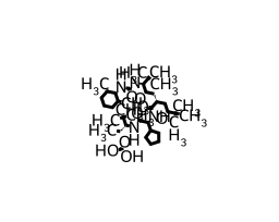 CC[C@@H](NC(=O)[C@@H](NC(=O)[C@H](CC(=O)[C@@H](NC(=O)NC1C(C)CCCC1C)C(C)(C)C)CC(=O)C(C)(C)C)C1CCCC1)C(C)(C)C.O=C(O)O